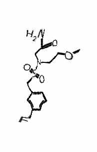 COCCN(CC(N)=O)S(=O)(=O)Cc1cccc(F)c1